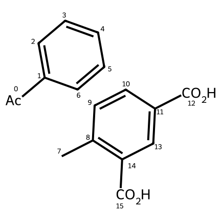 CC(=O)c1ccccc1.Cc1ccc(C(=O)O)cc1C(=O)O